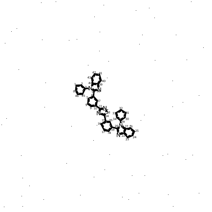 c1ccc(-n2c(-c3cccc(-c4nsc(-c5cccc(-c6nc7ccccc7n6-c6ccccc6)c5)n4)c3)nc3ccccc32)cc1